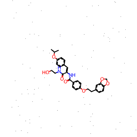 CC(C)Oc1ccc(C=C(NC(=O)c2ccc(OCCc3ccc4c(c3)OCO4)cc2)C(=O)NCCO)cc1